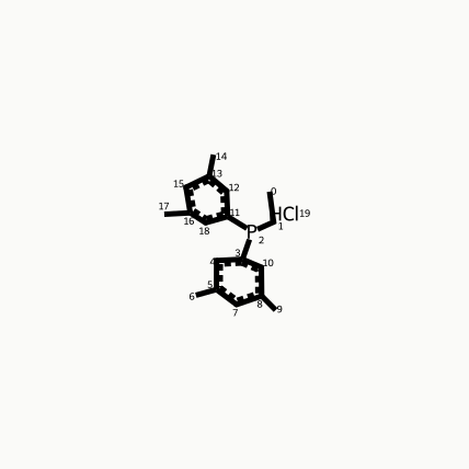 CCP(c1cc(C)cc(C)c1)c1cc(C)cc(C)c1.Cl